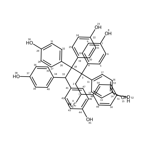 CC(CC(c1ccc(O)cc1)(c1ccc(O)cc1)C(c1ccc(O)cc1)(c1ccc(O)cc1)C(c1ccc(O)cc1)c1ccc(O)cc1)c1ccc(O)cc1